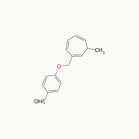 CC1C=CC=CC(COc2ccc(C=O)cc2)=C1